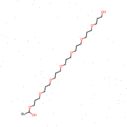 CCC(C)C(O)OCCCOCCCOCCCOCCCOCCCOCCCOCCCO